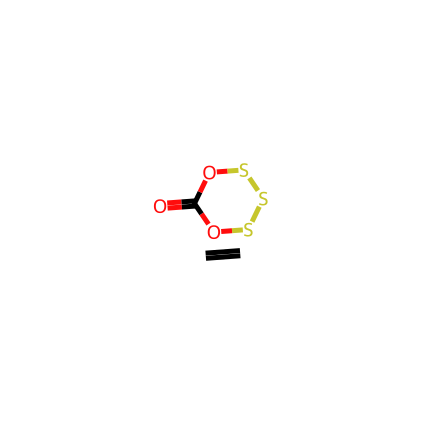 C=C.O=c1ossso1